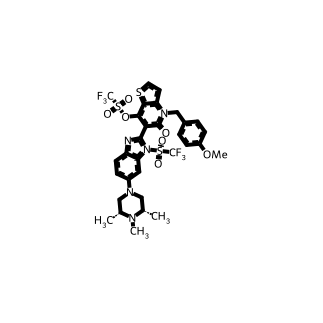 COc1ccc(Cn2c(=O)c(-c3nc4ccc(N5C[C@@H](C)N(C)[C@@H](C)C5)cc4n3S(=O)(=O)C(F)(F)F)c(OS(=O)(=O)C(F)(F)F)c3sccc32)cc1